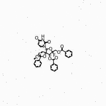 C=C=C=C[C@]1(OC(=O)c2ccccc2)[C@H](n2ccc(=O)[nH]c2=O)O[C@](F)(COC(=O)c2ccccc2)[C@H]1OC(=O)c1ccccc1